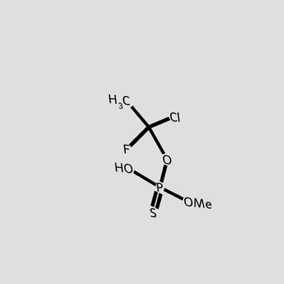 COP(O)(=S)OC(C)(F)Cl